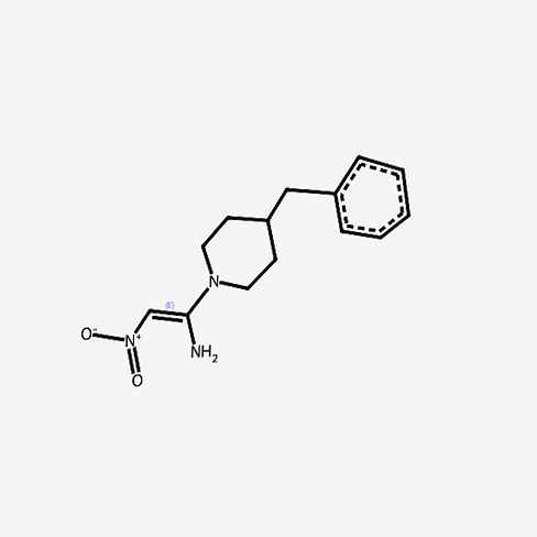 N/C(=C\[N+](=O)[O-])N1CCC(Cc2ccccc2)CC1